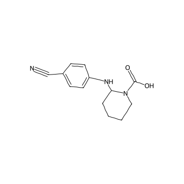 N#Cc1ccc(NC2CCCCN2C(=O)O)cc1